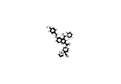 N#CC1(n2cccn2)CCN(C(=O)c2cc(C(=O)N3CCCCC3)c3cc(OCc4ccc(Cl)cc4)ccc3n2)CC1